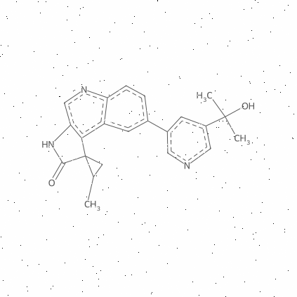 CC1CC12C(=O)Nc1cnc3ccc(-c4cncc(C(C)(C)O)c4)cc3c12